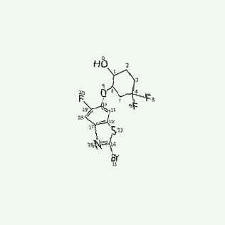 OC1CCC(F)(F)CC1Oc1cc2sc(Br)nc2cc1F